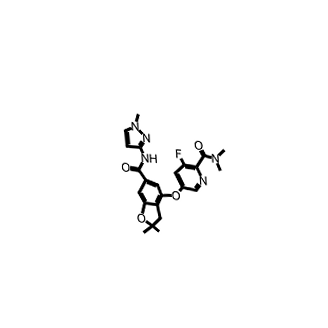 CN(C)C(=O)c1ncc(Oc2cc(C(=O)Nc3ccn(C)n3)cc3c2CC(C)(C)O3)cc1F